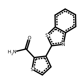 NC(=O)c1sccc1-c1nc2ccccc2s1